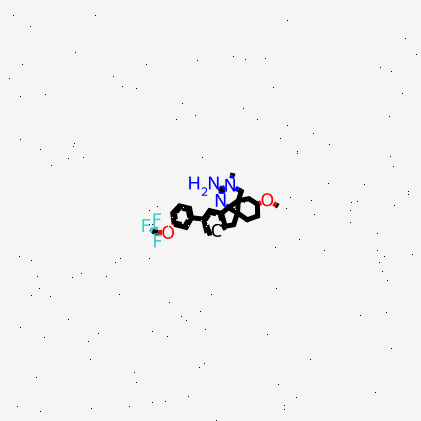 COC1CCC23Cc4ccc(-c5cccc(OC(F)(F)F)c5)cc4C24N=C(N)N(C)CC34C1